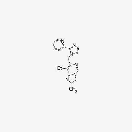 CCC1=C(Cn2ccnc2-c2ccccn2)N=CN2CC(C(F)(F)F)N=C12